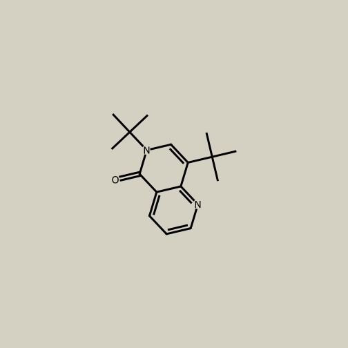 CC(C)(C)c1cn(C(C)(C)C)c(=O)c2cccnc12